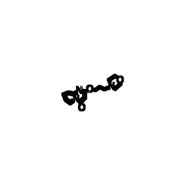 O=c1cc(OCCCN2CCOCC2)nc2ccccn12